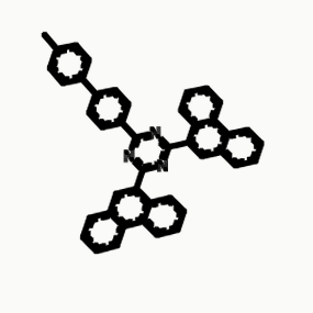 Cc1ccc(-c2ccc(-c3nc(-c4cc5ccccc5c5ccccc45)nc(-c4cc5ccccc5c5ccccc45)n3)cc2)cc1